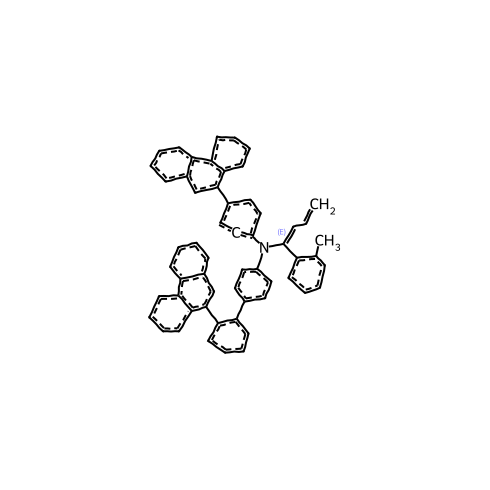 C=C/C=C(\c1ccccc1C)N(c1ccc(-c2ccccc2-c2cc3ccccc3c3ccccc23)cc1)c1ccc(-c2cc3ccccc3c3ccccc23)cc1